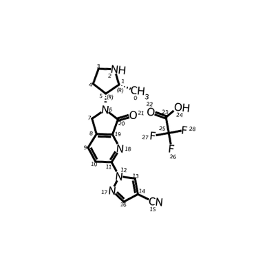 C[C@H]1NCC[C@H]1N1Cc2ccc(-n3cc(C#N)cn3)nc2C1=O.O=C(O)C(F)(F)F